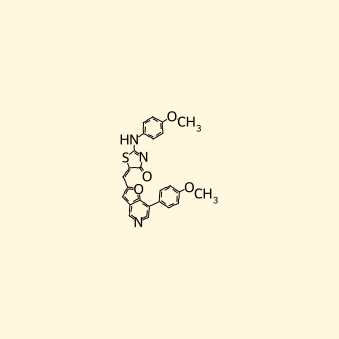 COc1ccc(NC2=NC(=O)C(=Cc3cc4cncc(-c5ccc(OC)cc5)c4o3)S2)cc1